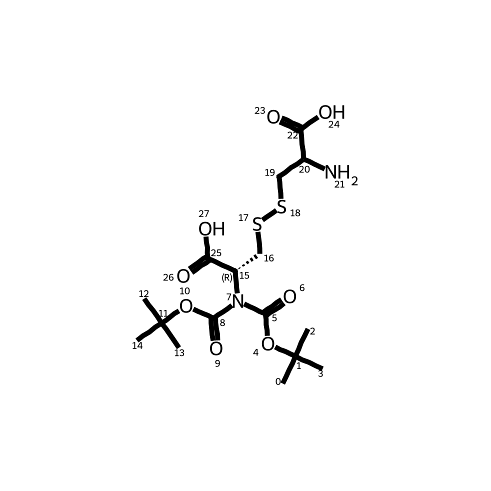 CC(C)(C)OC(=O)N(C(=O)OC(C)(C)C)[C@@H](CSSCC(N)C(=O)O)C(=O)O